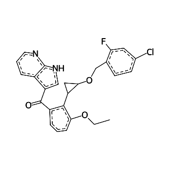 CCOc1cccc(C(=O)c2c[nH]c3ncccc23)c1C1CC1OCc1ccc(Cl)cc1F